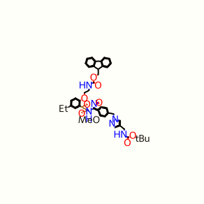 CCc1ccc(OCCNC(=O)OCC2c3ccccc3-c3ccccc32)c(S(=O)(=O)Nc2noc3cc(Cn4cc(CNC(=O)OC(C)(C)C)cn4)cc(OC)c23)c1